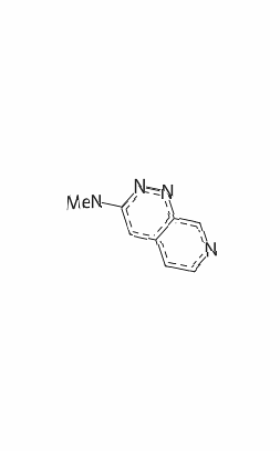 CNc1cc2ccncc2nn1